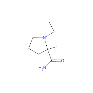 CCN1CCCC1(C)C(N)=O